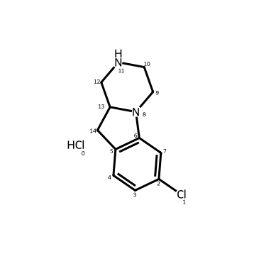 Cl.Clc1ccc2c(c1)N1CCNCC1C2